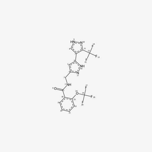 O=C(NCc1cc(-c2c[nH]nc2C(F)(F)F)[nH]n1)c1ccccc1OC(F)(F)F